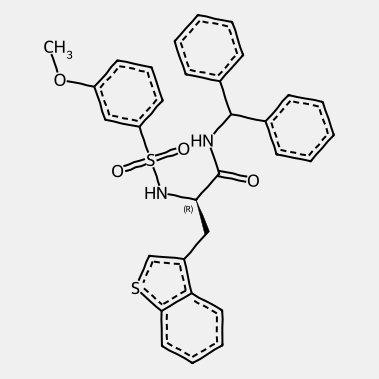 COc1cccc(S(=O)(=O)N[C@H](Cc2csc3ccccc23)C(=O)NC(c2ccccc2)c2ccccc2)c1